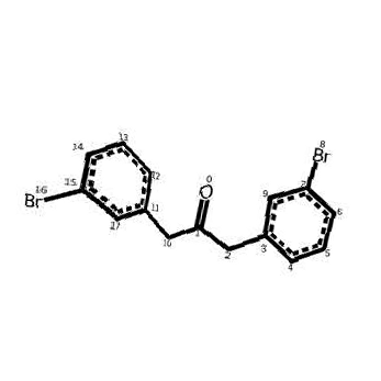 O=C(Cc1cccc(Br)c1)Cc1cccc(Br)c1